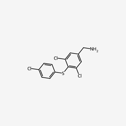 NCc1cc(Cl)c(Sc2ccc(Cl)cc2)c(Cl)c1